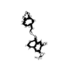 COc1cc2c(cc1O)/C(=N/OCc1ccc3nonc3c1)CCC2